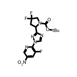 CC(C)(C)OC(=O)N1CC(F)(F)CC1c1ncn(-c2ncc([N+](=O)[O-])cc2F)n1